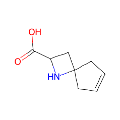 O=C(O)C1CC2(CC=CC2)N1